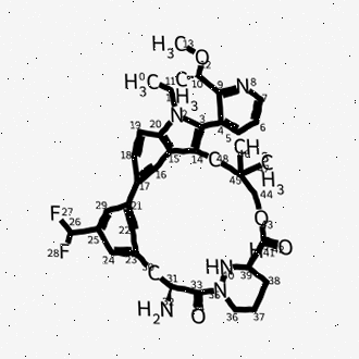 CCn1c(-c2cccnc2[C@H](C)OC)c2c3cc(ccc31)-c1cc(cc(C(F)F)c1)C[C@H](N)C(=O)N1CCC[C@H](N1)C(=O)OCC(C)(C)C2